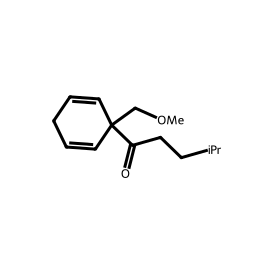 COCC1(C(=O)CCC(C)C)C=CCC=C1